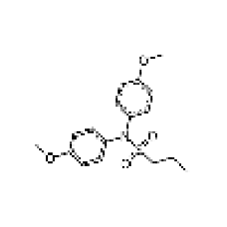 [CH2]CCS(=O)(=O)N(c1ccc(OC)cc1)c1ccc(OC)cc1